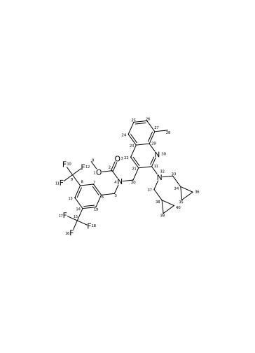 COC(=O)N(Cc1cc(C(F)(F)F)cc(C(F)(F)F)c1)Cc1cc2cccc(C)c2nc1N(CC1CC1)CC1CC1